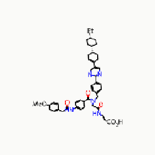 CC[C@H]1CC[C@H](C2CC=C(c3cnc(-c4ccc(CN(CC(=O)NCCC(=O)O)C(=O)c5ccc(NC(=O)Cc6ccc(OC)cc6)cc5)cc4)nc3)CC2)CC1